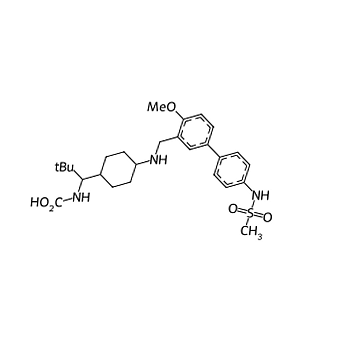 COc1ccc(-c2ccc(NS(C)(=O)=O)cc2)cc1CNC1CCC(C(NC(=O)O)C(C)(C)C)CC1